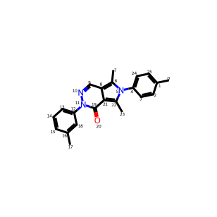 Cc1ccc(-n2c(C)c3cnn(-c4cccc(C)c4)c(=O)c3c2C)cc1